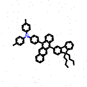 CCCCC1(CCCC)c2ccccc2-c2cc(-c3c4ccccc4c(-c4ccc(N(c5ccc(C)cc5)c5ccc(C)cc5)cc4)c4cc5ccccc5cc34)ccc21